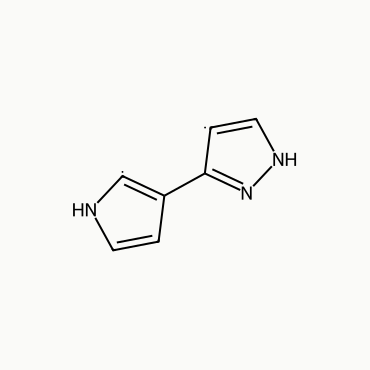 [c]1[nH]ccc1-c1[c]c[nH]n1